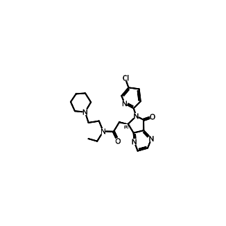 CCN(CCN1CCCCC1)C(=O)C[C@@H]1c2nccnc2C(=O)N1c1ccc(Cl)cn1